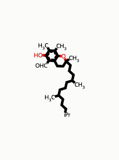 Cc1c(C)c2c(c(C=O)c1O)CCC(C)(CCCC(C)CCCC(C)CCCC(C)C)O2